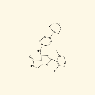 O=C1NCc2nc(-c3c(F)cccc3F)cc(Nc3ccc(N4CCOCC4)cn3)c21